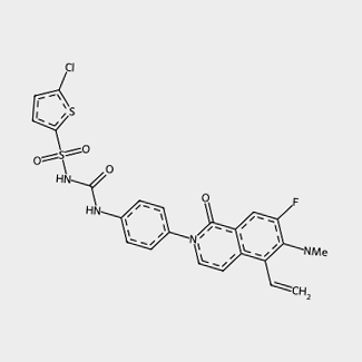 C=Cc1c(NC)c(F)cc2c(=O)n(-c3ccc(NC(=O)NS(=O)(=O)c4ccc(Cl)s4)cc3)ccc12